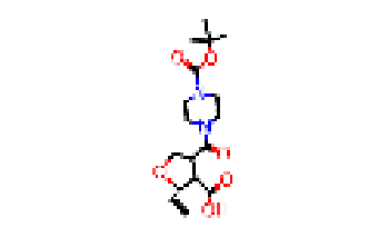 C=C[C@H]1OCC(C(=O)N2CCN(C(=O)OC(C)(C)C)CC2)C1C(=O)O